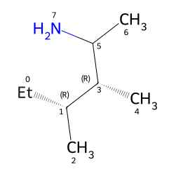 CC[C@@H](C)[C@@H](C)C(C)N